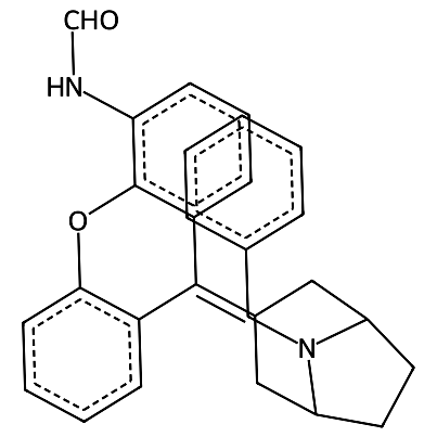 O=CNc1cccc2c1Oc1ccccc1C2=C1CC2CCC(C1)N2Cc1ccccc1